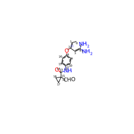 C/C=C(\C=C(N)N)Oc1ccc(NC(=O)C2(C=O)CC2)cc1